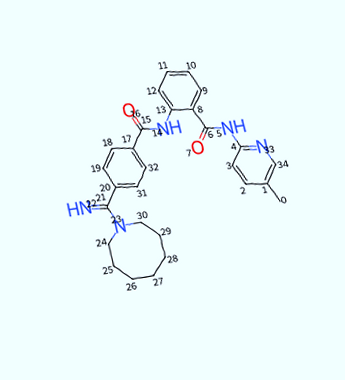 Cc1ccc(NC(=O)c2ccccc2NC(=O)c2ccc(C(=N)N3CCCCCCC3)cc2)nc1